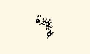 CC[C@H]1CC[C@@H](O[C@@H]2Cn3cc(C(=O)NCc4ccc(F)cc4F)c(=O)c(O)c3C(=O)N2)C1